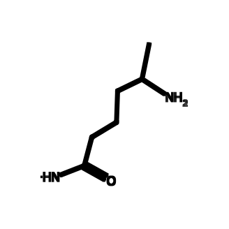 CC(N)CCCC([NH])=O